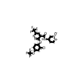 O=C(Nc1ccn[n+]([O-])c1)c1cc(C(F)(F)F)nnc1Oc1ccc(OC(F)(F)F)cc1Cl